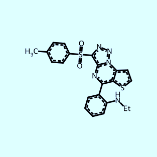 CCNc1ccccc1-c1nc2c(S(=O)(=O)c3ccc(C)cc3)nnn2c2ccsc12